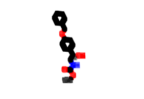 CC(C)(C)OC(=O)NC[C@@H](O)c1ccc(OCc2ccccc2)cc1